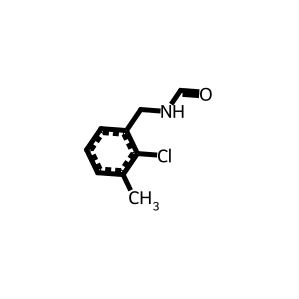 Cc1cccc(CNC=O)c1Cl